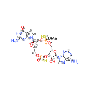 CO[PH]1(S)OCC2OC(n3cnc4c(N)ncnc43)C(O)C2OP(=O)(S)OCC2OC(N3CCc4c3nc(N)[nH]c4=O)C(O1)C2O